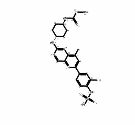 CCCS(=O)(=O)Nc1ccc(-c2cc(C)c3nc(N[C@H]4CC[C@H](NC(=O)OC(C)(C)C)CC4)ncc3n2)cc1F